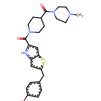 CN1CCN(C(=O)C2CCN(C(=O)c3cc4sc(Cc5ccc(Br)cc5)cc4[nH]3)CC2)CC1